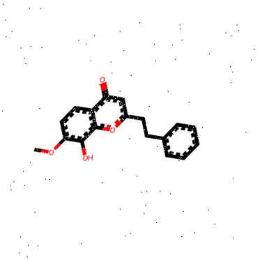 COc1ccc2c(=O)cc(CCc3ccccc3)oc2c1O